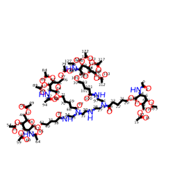 CC(=O)NC1C[C@@H](OC(C)=O)C(COC(C)=O)O[C@H]1OCCCCC(=O)N(CCNCCN(CCNC(=O)CCCCO[C@@H]1OC(COC(C)=O)[C@H](OC(C)=O)C(OC(C)=O)C1NC(C)=O)C(=O)CCCCO[C@@H]1OC(COC(C)=O)[C@H](OC(C)=O)C(OC(C)=O)C1NC(C)=O)CCNC(=O)CCCCO[C@@H]1OC(COC(C)=O)[C@H](OC(C)=O)C(OC(C)=O)C1NC(C)=O